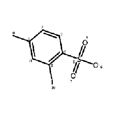 Cc1ccc(S([O])(=O)=O)c(I)c1